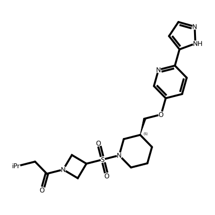 CC(C)CC(=O)N1CC(S(=O)(=O)N2CCC[C@H](COc3ccc(-c4ccn[nH]4)nc3)C2)C1